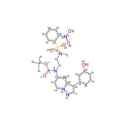 CN(CCN(C(=O)OC(C)(C)C)c1ccn2ncc(-c3cccc(O)c3)c2n1)S(=O)(=O)c1ccccc1[N+](=O)[O-]